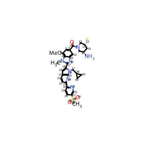 COc1cc(C(=O)N2C[C@H](N)C[C@@H](F)C2)cc2nc(-c3cc4ccc(-c5ccc(S(C)(=O)=O)cn5)nc4n3CC3CC3)n(C)c12